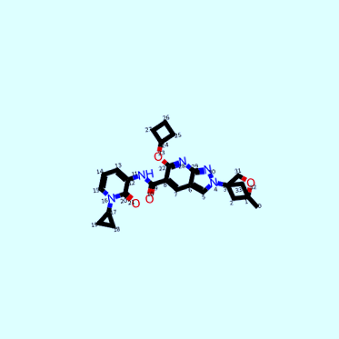 CC12CC(n3cc4cc(C(=O)Nc5cccn(C6CC6)c5=O)c(OC5CCC5)nc4n3)(CO1)C2